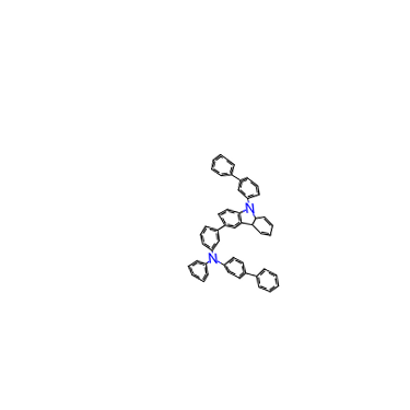 C1=CC2c3cc(-c4cccc(N(c5ccccc5)c5ccc(-c6ccccc6)cc5)c4)ccc3N(c3cccc(-c4ccccc4)c3)C2C=C1